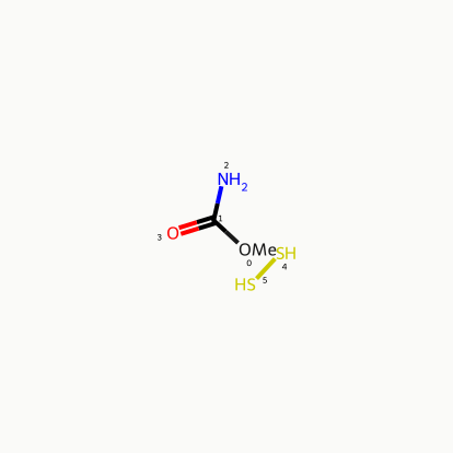 COC(N)=O.SS